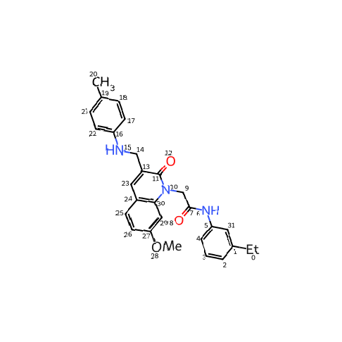 CCc1cccc(NC(=O)Cn2c(=O)c(CNc3ccc(C)cc3)cc3ccc(OC)cc32)c1